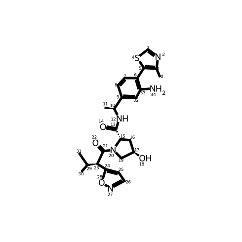 Cc1ncsc1-c1ccc([C@H](C)NC(=O)[C@@H]2C[C@@H](O)CN2C(=O)[C@@H](c2ccno2)C(C)C)cc1N